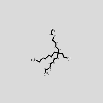 CCCC(CCCCOCC)(CCCCOCC)CCCCOCC